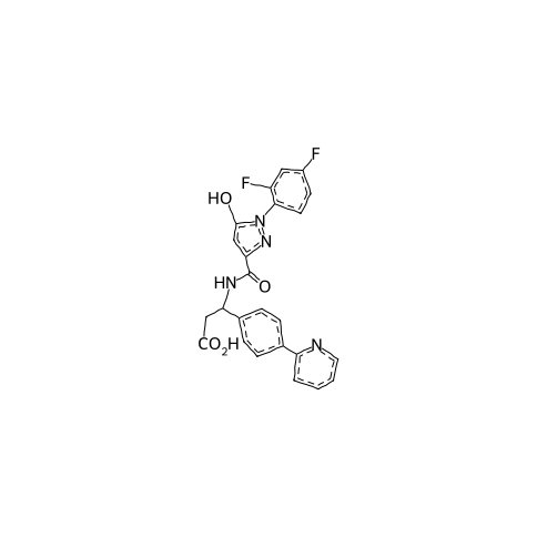 O=C(O)CC(NC(=O)c1cc(O)n(-c2ccc(F)cc2F)n1)c1ccc(-c2ccccn2)cc1